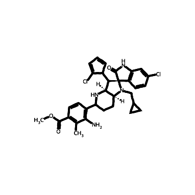 COC(=O)c1ccc(C2CC[C@H]3[C@@H](N2)C(C2C=CC=C2Cl)[C@]2(C(=O)Nc4cc(Cl)ccc42)N3CC2CC2)c(N)c1C